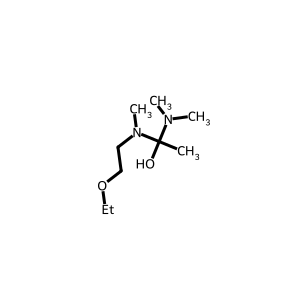 CCOCCN(C)C(C)(O)N(C)C